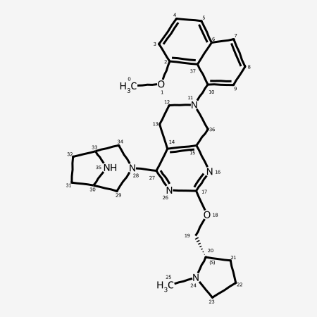 COc1cccc2cccc(N3CCc4c(nc(OC[C@@H]5CCCN5C)nc4N4CC5CCC(C4)N5)C3)c12